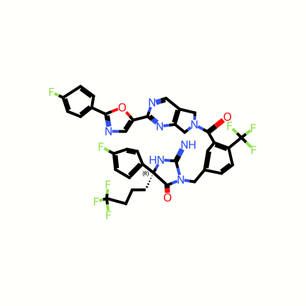 N=C1N[C@](CCCC(F)(F)F)(c2ccc(F)cc2)C(=O)N1Cc1ccc(C(F)(F)F)c(C(=O)N2Cc3cnc(-c4cnc(-c5ccc(F)cc5)o4)nc3C2)c1